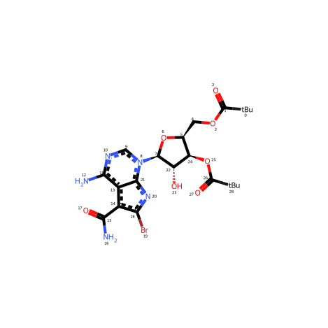 CC(C)(C)C(=O)OC[C@@H]1O[C@H](n2cnc(N)c3c(C(N)=O)c(Br)nc2-3)[C@@H](O)[C@@H]1OC(=O)C(C)(C)C